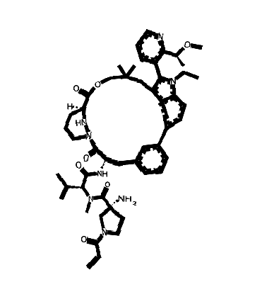 C=CC(=O)N1CC[C@](N)(C(=O)N(C)[C@H](C(=O)N[C@H]2Cc3cccc(c3)-c3ccc4c(c3)c(c(-c3cccnc3[C@H](C)OC)n4CC)CC(C)(C)COC(=O)[C@@H]3CCCN(N3)C2=O)C(C)C)C1